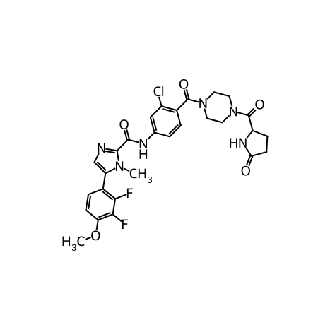 COc1ccc(-c2cnc(C(=O)Nc3ccc(C(=O)N4CCN(C(=O)C5CCC(=O)N5)CC4)c(Cl)c3)n2C)c(F)c1F